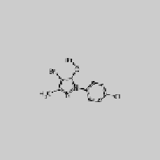 Cc1nn(-c2ccc(Cl)cc2)c(OC(C)C)c1Br